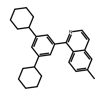 Cc1ccc2c(-c3cc(C4CCCCC4)cc(C4CCCCC4)c3)nccc2c1